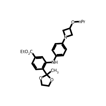 CCCOC1CN(c2ccc(Nc3cc(C(=O)OCC)ccc3C3(C)OCCO3)cc2)C1